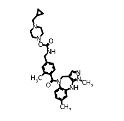 Cc1ccc2c(c1)Nc1c(cnn1C)CN2C(=O)c1ccc(CNC(=O)ON2CCN(CC3CC3)CC2)cc1C